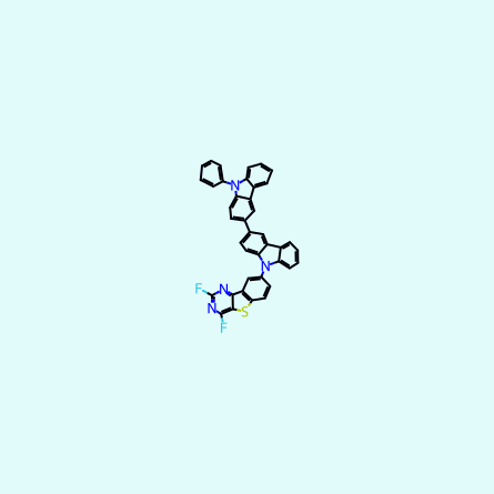 Fc1nc(F)c2sc3ccc(-n4c5ccccc5c5cc(-c6ccc7c(c6)c6ccccc6n7-c6ccccc6)ccc54)cc3c2n1